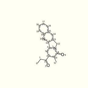 CCC(=O)c1cc2n(c(=O)c1C)Cc1cc3ccccc3nc1-2